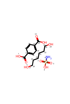 NS(=O)(=O)O.O=C(O)c1ccc(C(=O)O)cc1.OCCCCCCO